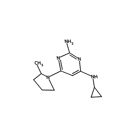 CC1CCCN1c1cc(NC2CC2)nc(N)n1